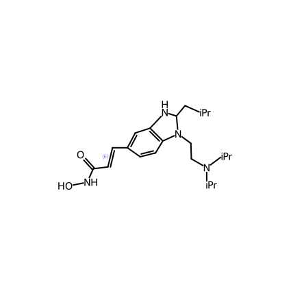 CC(C)CC1Nc2cc(/C=C/C(=O)NO)ccc2N1CCN(C(C)C)C(C)C